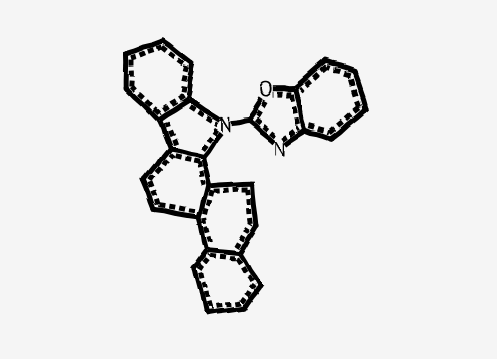 c1ccc2c(c1)ccc1c2ccc2c3ccccc3n(-c3nc4ccccc4o3)c12